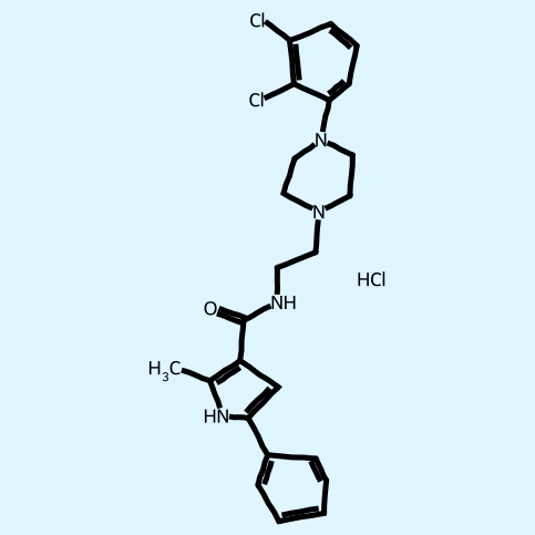 Cc1[nH]c(-c2ccccc2)cc1C(=O)NCCN1CCN(c2cccc(Cl)c2Cl)CC1.Cl